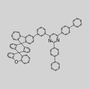 c1ccc(-c2ccc(-c3cc(-c4cccc(-c5ccc6c(c5)-c5ccccc5C65c6ccccc6C6(c7ccccc7Oc7ccccc76)c6ccccc65)c4)nc(-c4ccc(-c5ccccc5)cc4)n3)cc2)cc1